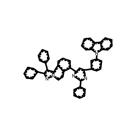 c1ccc(-c2nc(-c3cccc(-n4c5ccccc5c5ccccc54)c3)cc(-c3cccc4c3ccn3nc(-c5ccccc5)c(-c5ccccc5)c43)n2)cc1